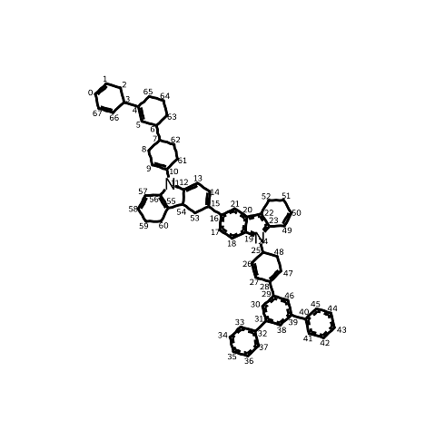 C1=CCC(C2=CC(C3CC=C(N4C5=CC=C(c6ccc7c(c6)c6c(n7C7C=CC(c8cc(-c9ccccc9)cc(-c9ccccc9)c8)=CC7)C=CCC6)CC5C5=C4C=CCC5)CC3)CCC2)C=C1